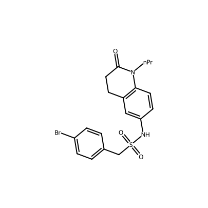 CCCN1C(=O)CCc2cc(NS(=O)(=O)Cc3ccc(Br)cc3)ccc21